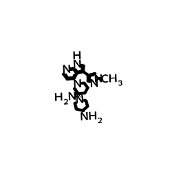 Cn1cc(-c2c[nH]c3nccc(N4CCC[C@](N)(N5CCC(N)CC5)C4)c23)cn1